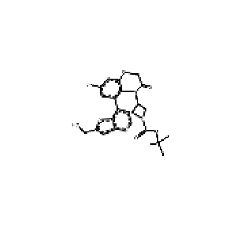 CC(C)(C)OC(=O)N1CC(N2C(=O)COc3cc(Cl)cc(-c4ccnc5cc(CO)sc45)c32)C1